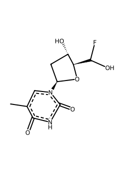 Cc1cn([C@H]2C[C@H](O)[C@@H](C(O)F)O2)c(=O)[nH]c1=O